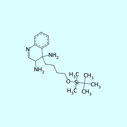 CC(C)(C)[Si](C)(C)OCCCCC1(N)c2ccccc2N=CC1N